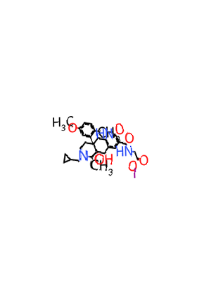 COc1ccc(C)c([C@]23CCN(CC4CC4)[C@H](C)[C@]2(O)Cc2cc(C(=O)NCC(=O)OI)c(=O)[nH]c2C3)c1